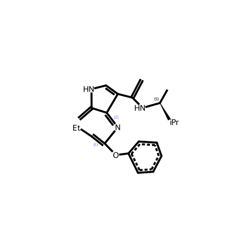 C=C(N[C@@H](C)C(C)C)C1=CNC(=C)/C1=N\C(=C/CC)Oc1ccccc1